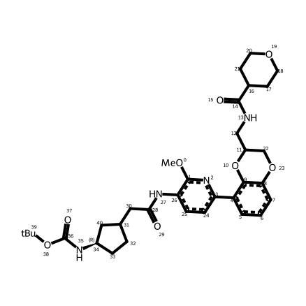 COc1nc(-c2cccc3c2OC(CNC(=O)C2CCOCC2)CO3)ccc1NC(=O)CC1CC[C@@H](NC(=O)OC(C)(C)C)C1